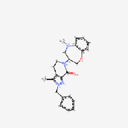 Cc1c2c(nn1Cc1ccccc1)C(=O)N([C@@H]1COc3ccccc3N(C)C1)CC2